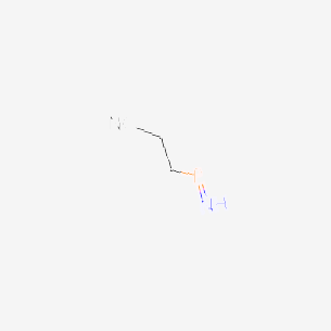 N#CCCP=N